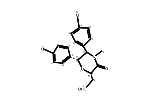 CN1C(=O)[C@@H](CC=O)O[C@H](c2ccc(Cl)cc2)C1c1ccc(Cl)cc1